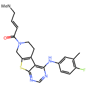 CNC/C=C/C(=O)N1CCc2c(sc3ncnc(Nc4ccc(F)c(C)c4)c23)C1